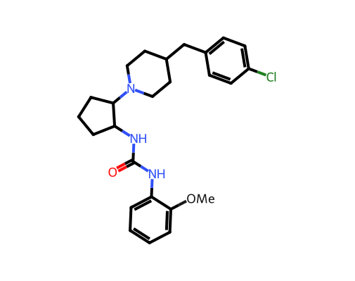 COc1ccccc1NC(=O)NC1CCCC1N1CCC(Cc2ccc(Cl)cc2)CC1